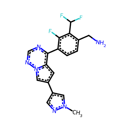 Cn1cc(-c2cc3c(-c4ccc(CN)c(C(F)F)c4F)ncnn3c2)cn1